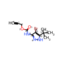 C#CCOC(=O)Nc1n[nH]c(C(C)(C)C)c1Br